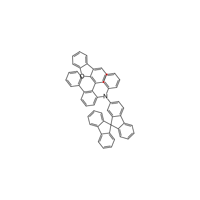 c1ccc(-c2cccc(N(c3ccccc3)c3ccc4c(c3)C3(c5ccccc5-c5ccccc53)c3ccccc3-4)c2-c2cccc3c2oc2ccccc23)cc1